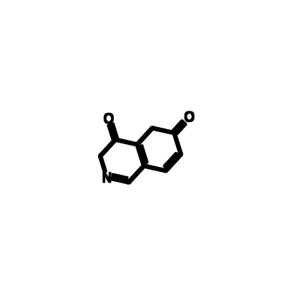 O=C1C=CC2=C(C1)C(=O)CN=C2